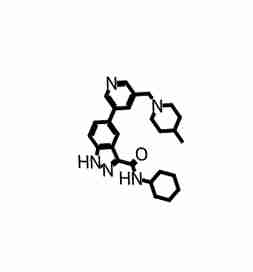 CC1CCN(Cc2cncc(-c3ccc4[nH]nc(C(=O)NC5CCCCC5)c4c3)c2)CC1